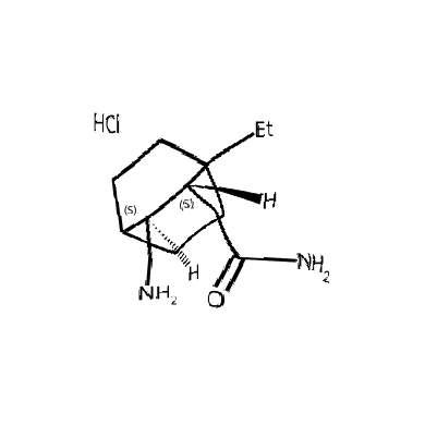 CCC12CCC(CC1)[C@H](N)[C@H]2C(N)=O.Cl